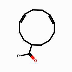 CCC(=O)C1CCC=CCCC=CCCC1